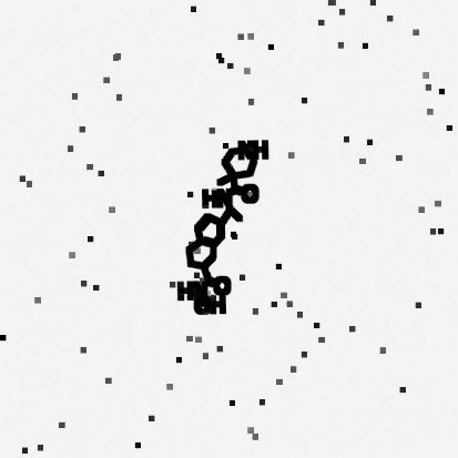 CC(NC(=O)C1(C)CCNCC1)c1ccc2c(c1)CC(C(=O)NO)CC2